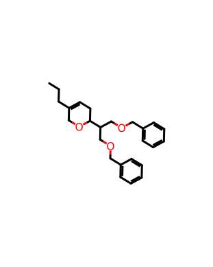 CCCC1=CCC(C(COCc2ccccc2)COCc2ccccc2)OC1